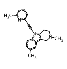 Cc1ccc2c(c1)c1c(n2C#Cc2cccc(C)n2)CCN(C)C1